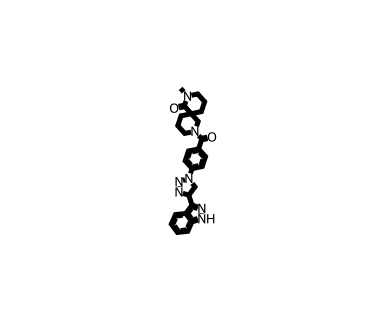 CN1CCCC2(CCCN(C(=O)c3ccc(N4CC(c5n[nH]c6ccccc56)N=N4)cc3)C2)C1=O